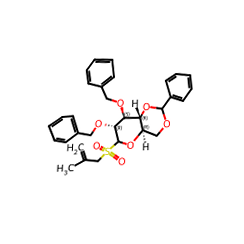 C=C(C)CS(=O)(=O)C1O[C@@H]2COC(c3ccccc3)O[C@H]2[C@H](OCc2ccccc2)[C@H]1OCc1ccccc1